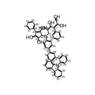 C#C/C(O)=C(\C(O)=C(\O)CN(c1ccc(-c2cccc(-c3ccccc3-n3c4ccccc4c4ccccc43)c2)cc1)C1C(O)=C(O)C(c2ccccc2)=C1O)c1ccccc1